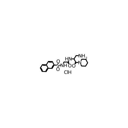 Cl.NCC(NC(=O)CNS(=O)(=O)c1ccc2ccccc2c1)C(=O)N1CCCCC1